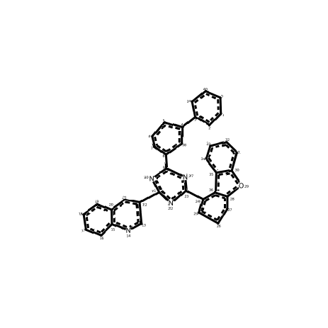 c1ccc(-c2cccc(-c3nc(-c4cnc5ccccc5c4)nc(-c4cccc5oc6ccccc6c45)n3)c2)cc1